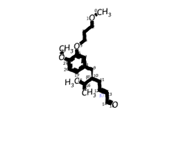 COCCCOc1cc(C[C@@H](C/C=C/C=O)C(C)C)ccc1OC